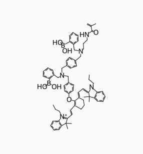 C=C(C)C(=O)NCCCN(Cc1ccc(CN(Cc2ccc(OC3=C(/C=C/C4=[N+](CCC)c5ccccc5C4(C)C)CCC/C3=C\C=C3\N(CCC)c4ccccc4C3(C)C)cc2)Cc2ccccc2B(O)O)cc1)Cc1ccccc1B(O)O